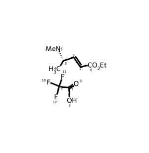 CCOC(=O)/C=C/[C@H](C)NC.O=C(O)C(F)(F)F